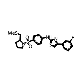 CSCC1CCCN1S(=O)(=O)c1ccc(Nc2nc(-c3cccc(F)c3)cs2)cc1